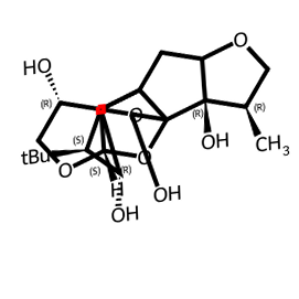 C[C@@H]1COC2CC34C5OC(O)C3(O[C@@H]3OC[C@H](O)C34[C@H](C(C)(C)C)[C@H]5O)[C@]21O